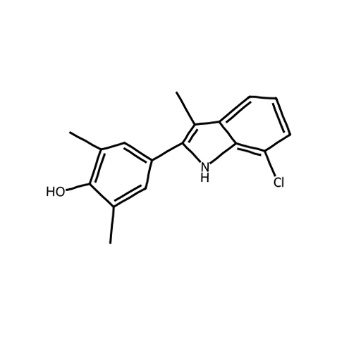 Cc1cc(-c2[nH]c3c(Cl)cccc3c2C)cc(C)c1O